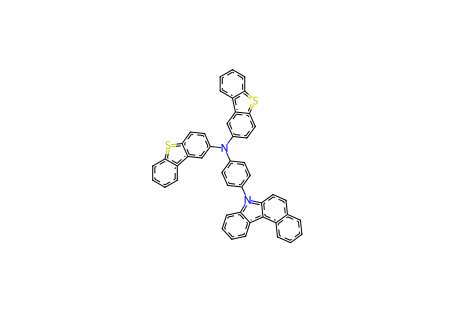 c1ccc2c(c1)ccc1c2c2ccccc2n1-c1ccc(N(c2ccc3sc4ccccc4c3c2)c2ccc3sc4ccccc4c3c2)cc1